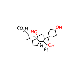 CC[C@@H](O)C1[C@@H]2CC[C@H](C(C)CCC(=O)O)[C@@]2(C)[C@@H](O)C[C@@H]1[C@]1(C)CC[C@H](O)CC1